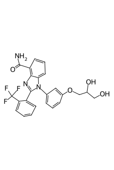 NC(=O)c1cccc2c1nc(-c1ccccc1C(F)(F)F)n2-c1cccc(OCC(O)CO)c1